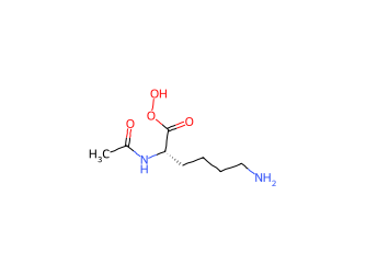 CC(=O)N[C@@H](CCCCN)C(=O)OO